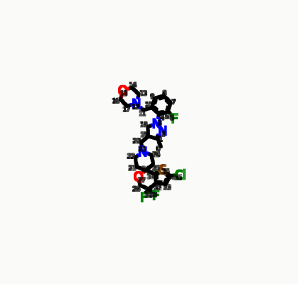 CC1=NN(c2c(F)cccc2CN2CCOCC2)CC1CN1CCC2(CC1)OCC(F)(F)c1cc(Cl)sc12